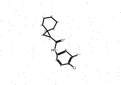 O=C(Nc1ccc(Cl)c(F)c1)C1CC12CCCCC2